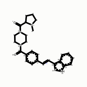 CN1CCCC1C(=O)N1CCN(C(=O)c2ccc(/C=C/c3n[nH]c4ccccc34)cc2)CC1